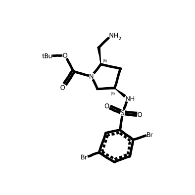 CC(C)(C)OC(=O)N1C[C@H](NS(=O)(=O)c2cc(Br)ccc2Br)C[C@@H]1CN